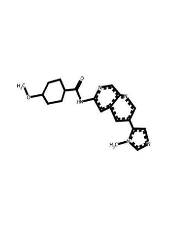 COC1CCC(C(=O)Nc2cc3cc(-c4cncn4C)cnc3cn2)CC1